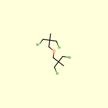 [CH2]C(CBr)(CBr)COCC([CH2])(CBr)CBr